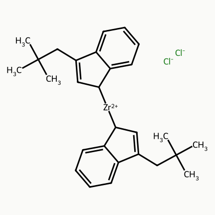 CC(C)(C)CC1=C[CH]([Zr+2][CH]2C=C(CC(C)(C)C)c3ccccc32)c2ccccc21.[Cl-].[Cl-]